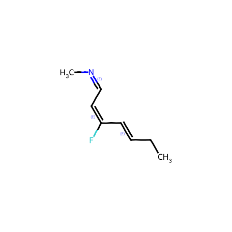 CC/C=C/C(F)=C\C=N/C